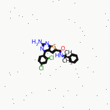 CC(C)(NC(=O)c1cc2c(-c3ccc(Cl)cc3Cl)nc(N)nc2s1)c1ccccc1